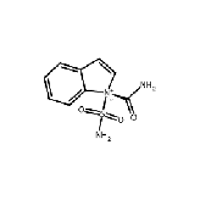 NC(=O)[N@+]1(S(N)(=O)=O)C=Cc2ccccc21